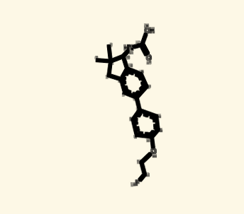 CC1(C)Cc2cc(-c3ccc(OCCF)cc3)ccc2C1NC(=O)O